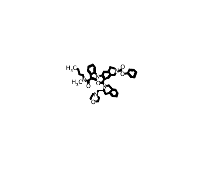 CCCCN(C)C(=O)c1cn(-c2cc3c(cc2C(=O)N2Cc4ccccc4C[C@H]2CN2CCOCC2)CN(C(=O)Oc2ccccc2)CC3)c2ccccc12